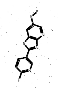 FSc1cnc2nc(-c3ccc(F)nc3)sc2c1